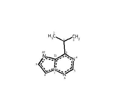 CC(C)c1ncnn2ccnc12